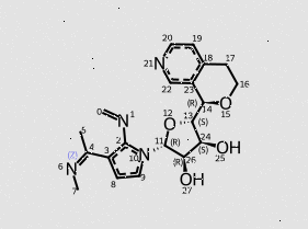 C=Nc1c(/C(C)=N\C)ccn1[C@@H]1O[C@H]([C@@H]2OCCc3ccncc32)[C@@H](O)[C@H]1O